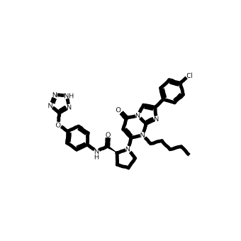 CCCCCn1c(N2CCC[C@H]2C(=O)Nc2ccc(Oc3nn[nH]n3)cc2)cc(=O)n2cc(-c3ccc(Cl)cc3)nc12